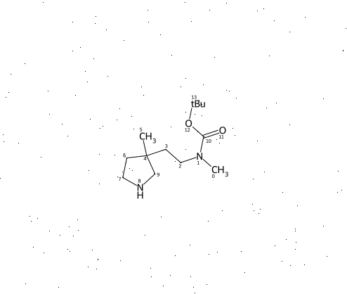 CN(CCC1(C)CCNC1)C(=O)OC(C)(C)C